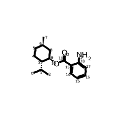 CC(C)[C@@H]1CC[C@@H](C)C[C@H]1OC(=O)c1ccccc1N